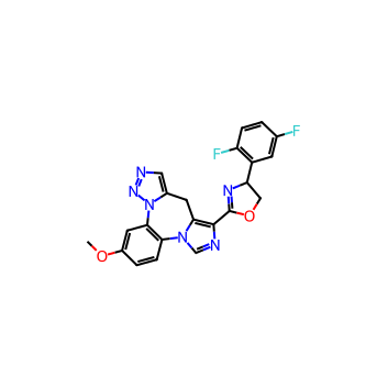 COc1ccc2c(c1)-n1nncc1Cc1c(C3=NC(c4cc(F)ccc4F)CO3)ncn1-2